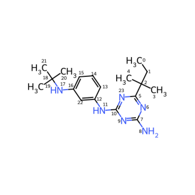 CCC(C)(C)c1nc(N)nc(Nc2cccc(NC(C)(C)C)c2)n1